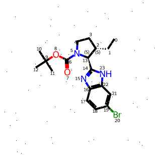 CC[C@H]1CCN(C(=O)OC(C)(C)C)[C@@H]1c1nc2ccc(Br)cc2[nH]1